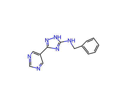 c1ccc(CNc2nc(-c3cncnc3)n[nH]2)cc1